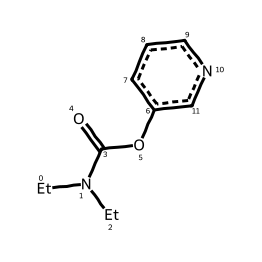 CCN(CC)C(=O)Oc1cccnc1